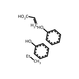 C=CC(=O)O.CCC.Oc1ccccc1.Oc1ccccc1